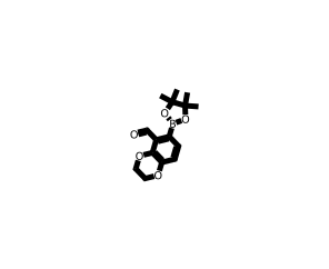 CC1(C)OB(c2ccc3c(c2C=O)OCCO3)OC1(C)C